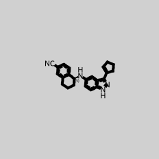 N#Cc1ccc2c(c1)CCC[C@@H]2Nc1ccc2[nH]nc(C3=CCCC3)c2c1